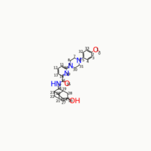 COc1ccc(N2CCN(c3cccc(C(=O)NC4C5CC6CC4CC(O)(C6)C5)n3)CC2)cc1